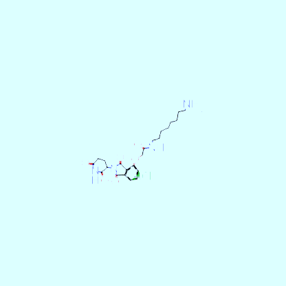 Cl.NCCCCCCCCNC(=O)COc1cccc2c1C(=O)N(C1CCC(=O)NC1=O)C2=O